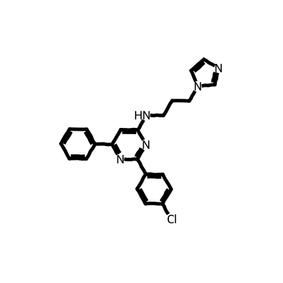 Clc1ccc(-c2nc(NCCCn3ccnc3)cc(-c3ccccc3)n2)cc1